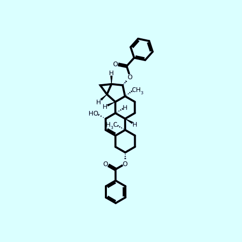 C[C@]12CC[C@H]3[C@H]([C@@H]1[C@@H]1C[C@@H]1[C@@H]2OC(=O)c1ccccc1)[C@@H](O)C=C1C[C@@H](OC(=O)c2ccccc2)CC[C@@]13C